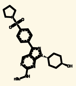 CCCCNc1ncc2c(-c3ccc(S(=O)(=O)N4CCCC4)cc3)nn([C@H]3CC[C@H](O)CC3)c2n1